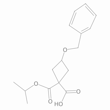 CC(C)OC(=O)C1(C(=O)O)CC(OCc2ccccc2)C1